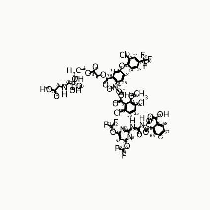 CCOC(=O)COC(=O)c1cc(Oc2ccc(C(F)(F)F)cc2Cl)ccc1[N+](=O)[O-].COc1c(Cl)ccc(Cl)c1C(=O)O.O=C(Nc1nc(OC(F)F)cc(OC(F)F)n1)NS(=O)(=O)c1ccccc1C(=O)O.O=C(O)CNCP(=O)(O)O